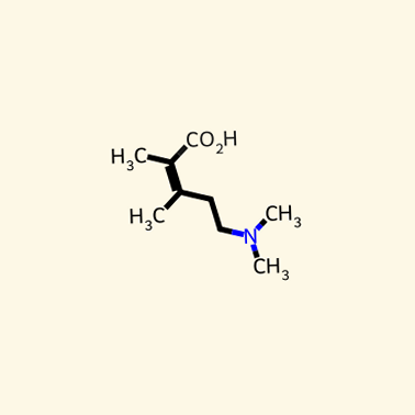 CC(CCN(C)C)=C(C)C(=O)O